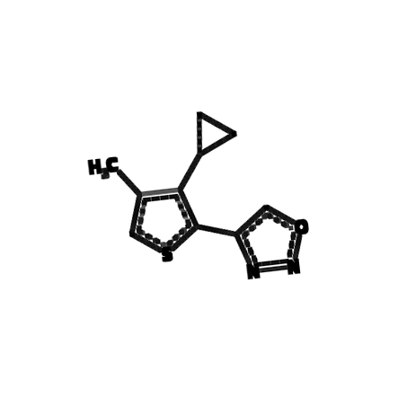 Cc1csc(-c2conn2)c1C1CC1